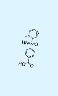 Cc1ccncc1S(=N)(=O)c1ccc(C(=O)O)cc1